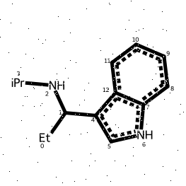 CCC(NC(C)C)c1c[nH]c2ccccc12